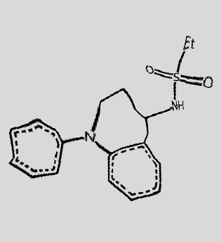 CCS(=O)(=O)NC1CCN(c2ccccc2)c2ccccc21